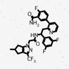 CC1Cc2c(C(F)(F)F)nn(CC(=O)NC(Cc3ncccc3-c3ccc(F)c(C(N)=O)c3)c3cc(F)cc(F)c3)c2C1